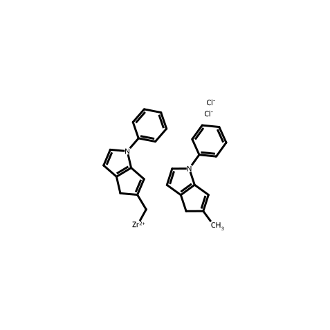 CC1=Cc2c(ccn2-c2ccccc2)C1.[Cl-].[Cl-].[Zr+2][CH2]C1=Cc2c(ccn2-c2ccccc2)C1